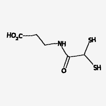 O=C(O)CCNC(=O)C(S)S